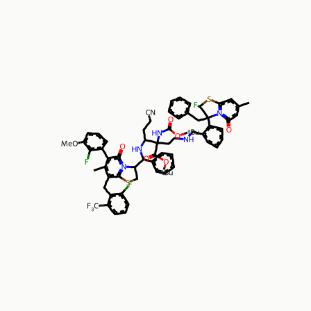 COc1cccc(-c2c(C)c(Cc3c(F)cccc3C(F)(F)F)c3n(c2=O)C(C(NC(CCC#N)C(CCNCc2ccccc2C2(Cc4ccccc4)C(F)Sc4cc(C)cc(=O)n42)(NC(=O)OC(C)(C)C)C(=O)OC(C)(C)C)c2ccccc2)CS3)c1F